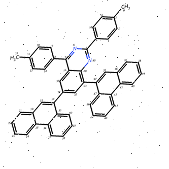 Cc1ccc(-c2nc(-c3ccc(C)cc3)c3cc(-c4cc5ccccc5c5ccccc45)cc(-c4cc5ccccc5c5ccccc45)c3n2)cc1